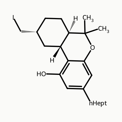 CCCCCCCc1cc(O)c2c(c1)OC(C)(C)[C@@H]1CC[C@@H](CI)C[C@@H]21